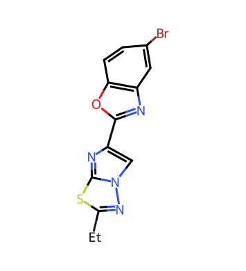 CCc1nn2cc(-c3nc4cc(Br)ccc4o3)nc2s1